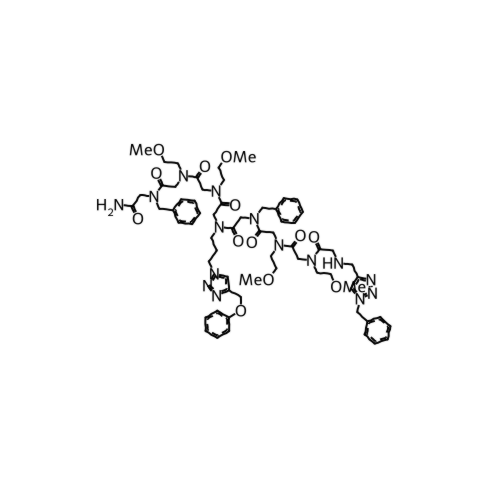 COCCN(CC(=O)N(CCOC)CC(=O)N(CC(=O)N(CCCn1cc(COc2ccccc2)nn1)CC(=O)N(CCOC)CC(=O)N(CCOC)CC(=O)N(CC(N)=O)Cc1ccccc1)Cc1ccccc1)C(=O)CNCc1cn(Cc2ccccc2)nn1